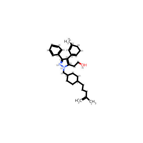 C=C(C)CCCC1CCC(Cn2nc(-c3ccccc3)c(C3=CCCC(C)=C3)c2CCO)CC1